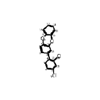 Clc1ccc(-c2ccc3c(c2)Oc2ccccc2O3)c(Cl)c1